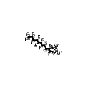 O=S(=O)([O-])C(F)C(F)C(F)C(F)C(F)C(F)C(F)C(F)C(F)C(F)C(F)C(F)F.[Li+]